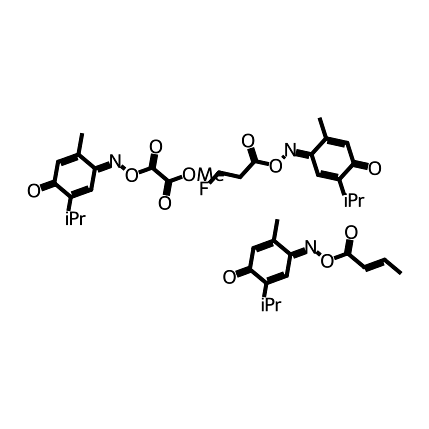 CC1=CC(=O)C(C(C)C)=CC1=NOC(=O)CCF.CC=CC(=O)ON=C1C=C(C(C)C)C(=O)C=C1C.COC(=O)C(=O)ON=C1C=C(C(C)C)C(=O)C=C1C